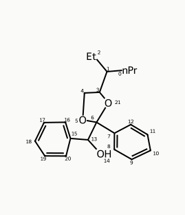 CCCC(CC)C1COC(c2ccccc2)(C(O)c2ccccc2)O1